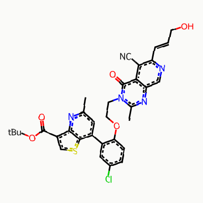 Cc1cc(-c2cc(Cl)ccc2OCCn2c(C)nc3cnc(/C=C/CO)c(C#N)c3c2=O)c2scc(C(=O)OC(C)(C)C)c2n1